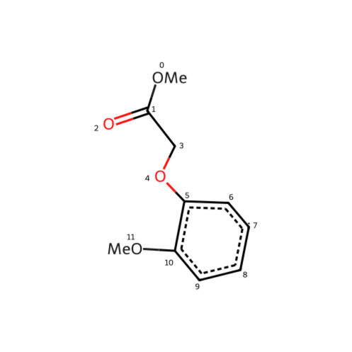 COC(=O)COc1c[c]ccc1OC